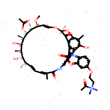 CO[C@H]1/C=C/O[C@@]2(C)Oc3c(C)c(O)c4c(=O)c(c5oc6cc(OCC[N+](C)(I)C(C)=O)ccc6nc-5c4c3C2=O)NC(=O)/C(C)=C\C=C\[C@H](C)[C@H](O)[C@@H](C)[C@@H](O)[C@@H](C)[C@H](OC(C)=O)[C@@H]1C